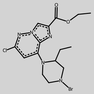 CCOC(=O)c1cn2nc(Cl)cc(N3CCN(Br)CC3CC)c2n1